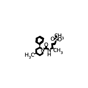 CC(/C=C/S(C)(=O)=O)NC(=O)N1CC[C@@H](C)C[C@H]1c1ccccc1